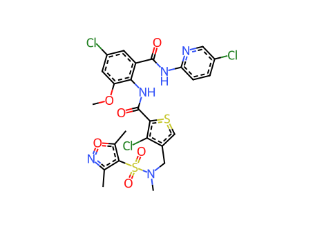 COc1cc(Cl)cc(C(=O)Nc2ccc(Cl)cn2)c1NC(=O)c1scc(CN(C)S(=O)(=O)c2c(C)noc2C)c1Cl